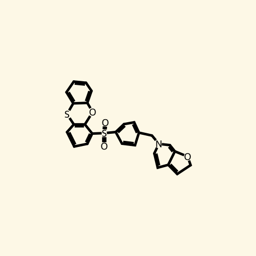 O=S(=O)(c1ccc(CN2C=CC3=CCOC3=C2)cc1)c1cccc2c1Oc1ccccc1S2